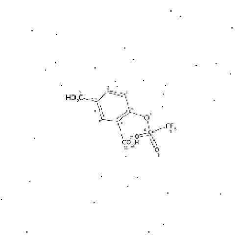 O=C(O)c1ccc(OS(=O)(=O)C(F)(F)F)c(C(=O)O)c1